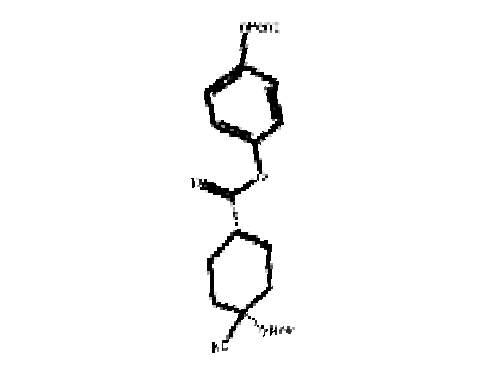 CCCCCC[C@]1(C#N)CC[C@H](C(=O)Oc2ccc(CCCCC)cc2)CC1